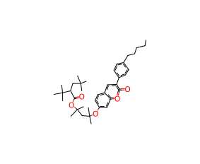 CCCCCc1ccc(-c2cc3ccc(OC(C)(C)CC(C)(C)OC(=O)C(CC(C)(C)C)C(C)(C)C)cc3oc2=O)cc1